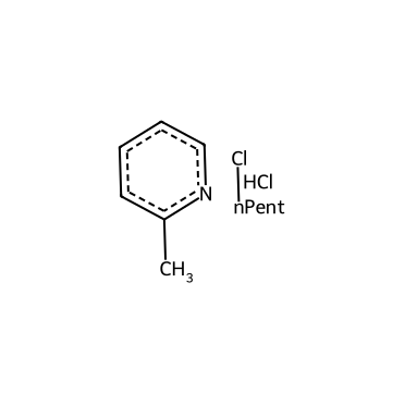 CCCCCCl.Cc1ccccn1.Cl